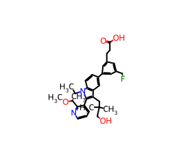 CCn1c(-c2cccnc2[C@H](C)OC)c(CC(C)(C)CO)c2cc(-c3cc(CF)cc(CCC(=O)O)c3)ccc21